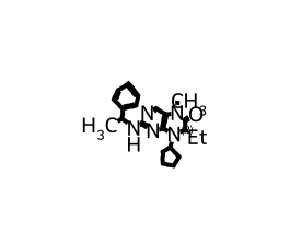 CC[C@@H]1C(=O)N(C)c2cnc(NC(C)c3ccccc3)nc2N1C1CCCC1